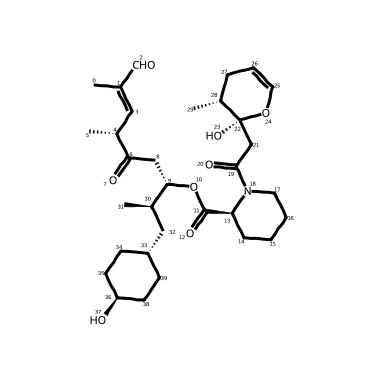 C/C(C=O)=C\[C@@H](C)C(=O)C[C@H](OC(=O)[C@@H]1CCCCN1C(=O)C[C@]1(O)OC=CC[C@H]1C)[C@H](C)C[C@H]1CC[C@H](O)CC1